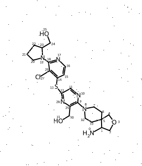 NC1COCC12CCN(c1ncc(Sc3ccnc(N4CCCC4CO)c3Cl)nc1CO)CC2